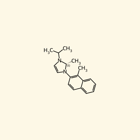 Cc1c(N2C=CN(C(C)C)[C@@H]2C)ccc2ccccc12